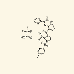 Cc1ccc(S(=O)(=O)n2ccc3c(-c4cccc5c4OC(c4ccccn4)C(=O)N5)cn(C)c(=O)c32)cc1.O=C(O)C(F)(F)F